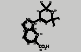 CC1(C)C=C(n2ncc3ccc(C(=O)O)nc32)CC(C)(C)O1